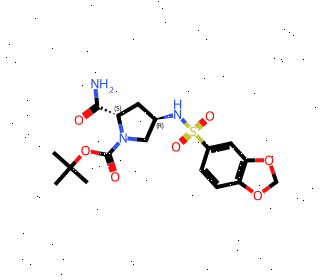 CC(C)(C)OC(=O)N1C[C@H](NS(=O)(=O)c2ccc3c(c2)OCO3)C[C@H]1C(N)=O